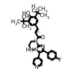 CC(C)(C)c1cc(/C=C/C(=O)N2CCNn3c2nc(-c2ccc(F)cc2)c3-c2ccncc2)cc(C(C)(C)C)c1O